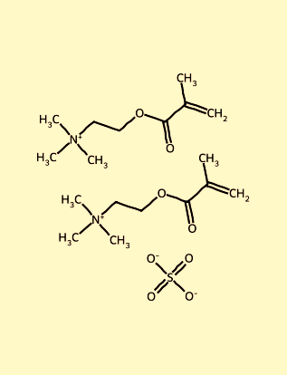 C=C(C)C(=O)OCC[N+](C)(C)C.C=C(C)C(=O)OCC[N+](C)(C)C.O=S(=O)([O-])[O-]